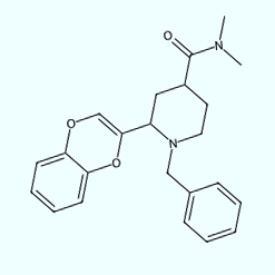 CN(C)C(=O)C1CCN(Cc2ccccc2)C(C2=COc3ccccc3O2)C1